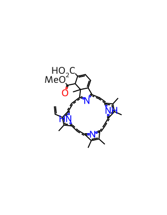 C=Cc1c(C)c2cc3nc(cc4[nH]c(cc5nc(cc1[nH]2)C1(C)C5=CC=C(C(=O)O)C1C(=O)OC)c(C)c4C)C(C)=C3C